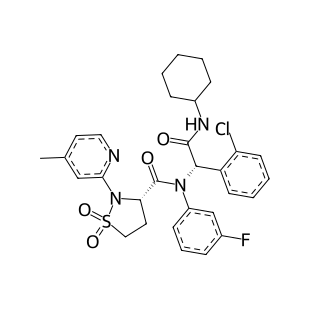 Cc1ccnc(N2[C@H](C(=O)N(c3cccc(F)c3)[C@H](C(=O)NC3CCCCC3)c3ccccc3Cl)CCS2(=O)=O)c1